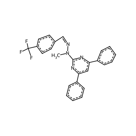 CN(/N=C\c1ccc(C(F)(F)F)cc1)c1nc(-c2ccccc2)cc(-c2ccccc2)n1